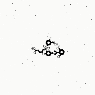 COc1cc(S(=O)(=O)N2CC(CCC(=O)O)Oc3ccc(N4CC(c5c(Cl)cccc5Cl)C4)cc32)ccc1F